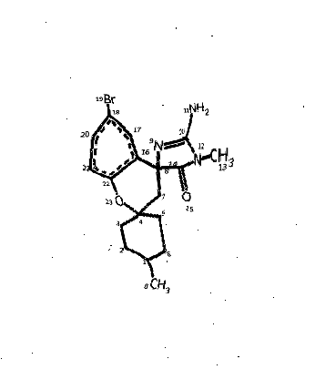 CC1CCC2(CC1)CC1(N=C(N)N(C)C1=O)c1cc(Br)ccc1O2